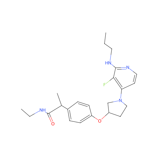 CCCNc1nccc(N2CCC(Oc3ccc(C(C)C(=O)NCC)cc3)C2)c1F